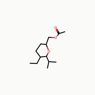 CCC1CCC(COC(C)=O)OC1C(C)C